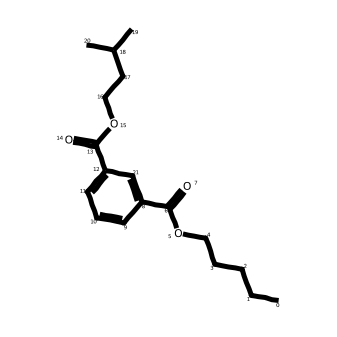 CCCCCOC(=O)c1cccc(C(=O)OCCC(C)C)c1